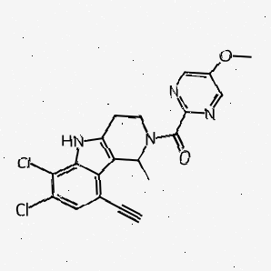 C#Cc1cc(Cl)c(Cl)c2[nH]c3c(c12)C(C)N(C(=O)c1ncc(OC)cn1)CC3